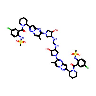 Cc1cn2nc(C3CCCCN3C(=O)c3cc(Cl)ccc3NS(C)(=O)=O)cc2nc1N1CC(O)C(NCNC2CN(c3nc4cc(C5CCCCN5C(=O)c5cc(Cl)ccc5NS(C)(=O)=O)nn4cc3C)CC2O)C1